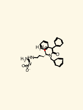 NC(=O)[C@@H](CCCNC(N)=N[N+](=O)[O-])N(Cc1ccccc1)C(=O)C(c1ccccc1)c1ccccc1